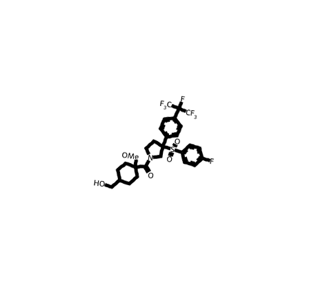 COC1(C(=O)N2CCC(c3ccc(C(F)(C(F)(F)F)C(F)(F)F)cc3)(S(=O)(=O)c3ccc(F)cc3)C2)CCC(CO)CC1